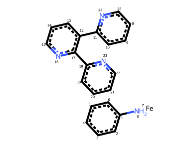 Nc1ccccc1.[Fe].c1ccc(-c2cccnc2-c2ccccn2)nc1